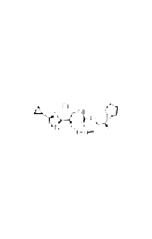 CC[C@H](NC(=O)O[C@@H](CC(C)(C)C)C(=O)N1CCCC1)C(=O)c1noc(C2CC2)n1